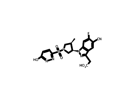 C[C@@H]1CN(S(=O)(=O)c2ccc(O)nn2)C[C@@H]1n1nc(CC(=O)O)c2cc(C#N)c(F)cc21